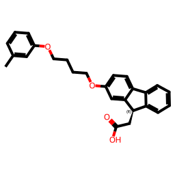 Cc1cccc(OCCCCOc2ccc3c(c2)[C@H](CC(=O)O)c2ccccc2-3)c1